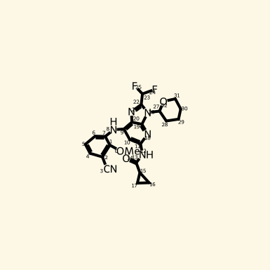 COc1c(C#N)cccc1Nc1cc(NC(=O)C2CC2)nc2c1nc(C(F)F)n2C1CCCCO1